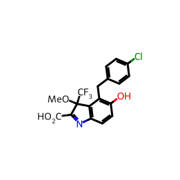 COC1(C(F)(F)F)C(C(=O)O)=Nc2ccc(O)c(Cc3ccc(Cl)cc3)c21